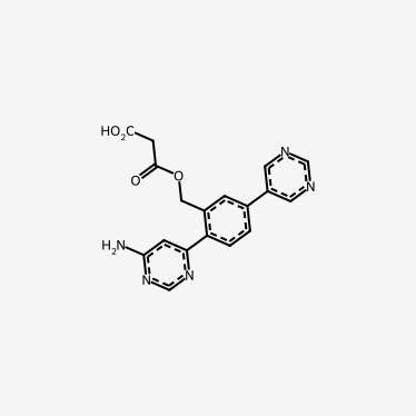 Nc1cc(-c2ccc(-c3cncnc3)cc2COC(=O)CC(=O)O)ncn1